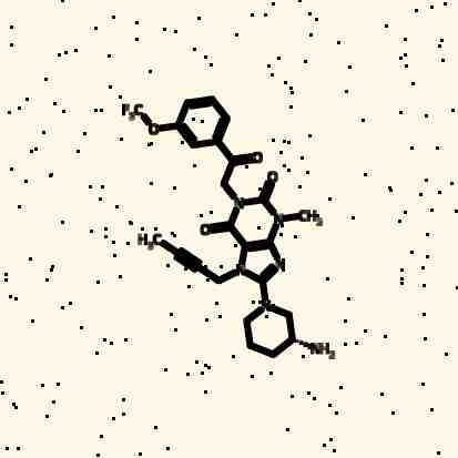 CC#CCn1c(N2CCC[C@@H](N)C2)nc2c1c(=O)n(CC(=O)c1cccc(OC(F)(F)F)c1)c(=O)n2C